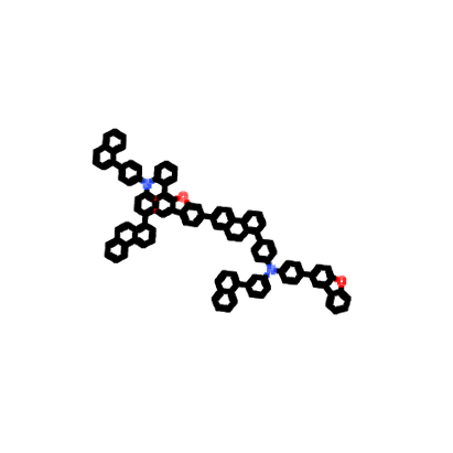 c1cc(-c2cccc3ccccc23)cc(N(c2ccc(-c3ccc4oc5ccccc5c4c3)cc2)c2ccc(-c3cccc4c3ccc3cc(-c5ccc6c(c5)oc5c(-c7ccccc7N(c7ccc(-c8cccc9ccccc89)cc7)c7ccc(-c8cccc9c8ccc8ccccc89)cc7)cccc56)ccc34)cc2)c1